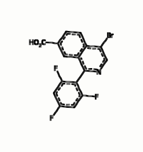 O=C(O)c1ccc2c(Br)cnc(-c3c(F)cc(F)cc3F)c2c1